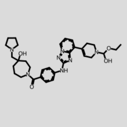 CCOC(O)N1CC=C(c2cccn3nc(Nc4ccc(C(=O)N5CCCC(O)(CN6CCCC6)CC5)cc4)nc23)CC1